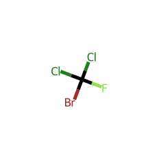 FC(Cl)(Cl)Br